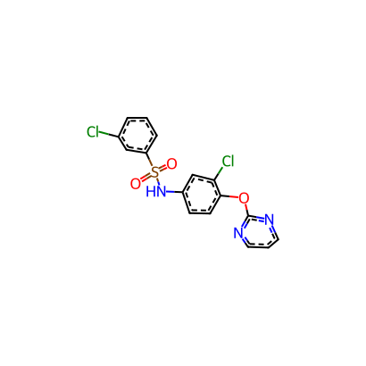 O=S(=O)(Nc1ccc(Oc2ncccn2)c(Cl)c1)c1cccc(Cl)c1